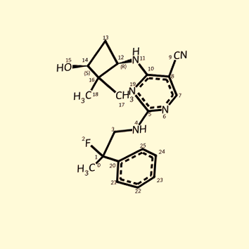 CC(F)(CNc1ncc(C#N)c(N[C@@H]2C[C@H](O)C2(C)C)n1)c1ccccc1